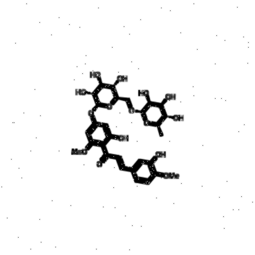 COc1ccc(/C=C/C(=O)c2c(O)cc(O[C@@H]3O[C@H](CO[C@H]4O[C@H](C)[C@@H](O)[C@H](O)[C@@H]4O)[C@@H](O)[C@H](O)[C@H]3O)cc2OC)cc1O